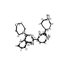 c1cnc2c(N3CCOCC3)nc(-c3ccnc(C4CCNCC4)n3)nc2c1